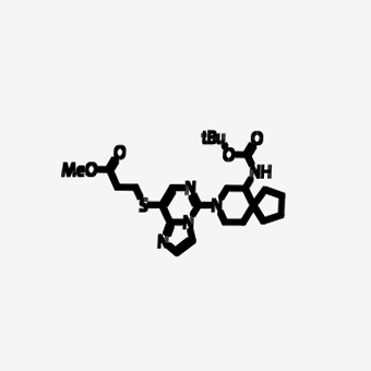 COC(=O)CCSc1cnc(N2CCC3(CCCC3)C(NC(=O)OC(C)(C)C)C2)n2ccnc12